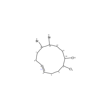 ClC1CC/C=C/CCC(Br)C(Br)CCC1Cl